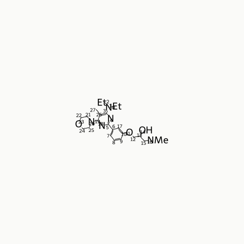 CCN(CC)c1nc(-c2cccc(OCC(O)CNC)c2)nc(N2CCOCC2)c1C